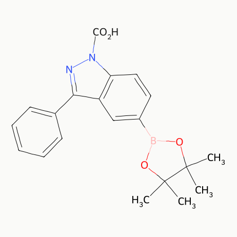 CC1(C)OB(c2ccc3c(c2)c(-c2ccccc2)nn3C(=O)O)OC1(C)C